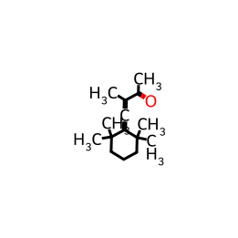 CC(=O)C(C)=C=C1C(C)(C)CCCC1(C)C